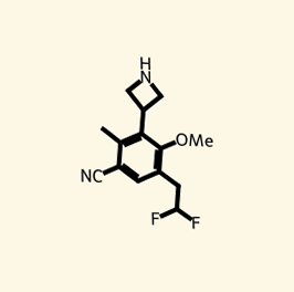 COc1c(CC(F)F)cc(C#N)c(C)c1C1CNC1